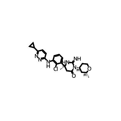 C[C@@H]1C[C@H](N2C(=N)N[C@](C)(c3cccc(Nc4ccc(C5CC5)nn4)c3Cl)CC2=O)CCO1